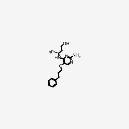 CCC[C@@H](CCO)Nc1nc(N)ncc1OCCCc1ccccc1